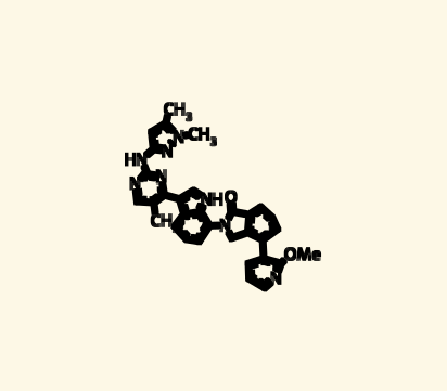 COc1ncccc1-c1cccc2c1CN(c1cccc3c(-c4nc(Nc5cc(C)n(C)n5)ncc4C)c[nH]c13)C2=O